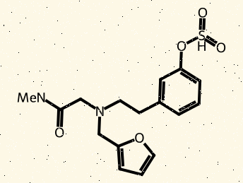 CNC(=O)CN(CCc1cccc(O[SH](=O)=O)c1)Cc1ccco1